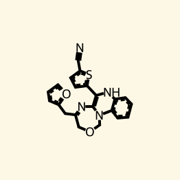 N#Cc1ccc(C2=C3N=C(Cc4ccco4)COCN3c3ccccc3N2)s1